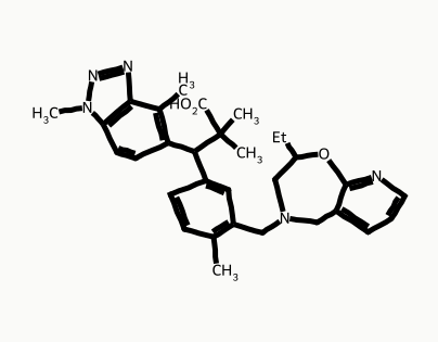 CCC1CN(Cc2cc(C(c3ccc4c(nnn4C)c3C)C(C)(C)C(=O)O)ccc2C)Cc2cccnc2O1